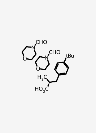 C[C@@H](Cc1ccc(C(C)(C)C)cc1)C(=O)O.O=CN1CCOCC1.O=CN1CCOCC1